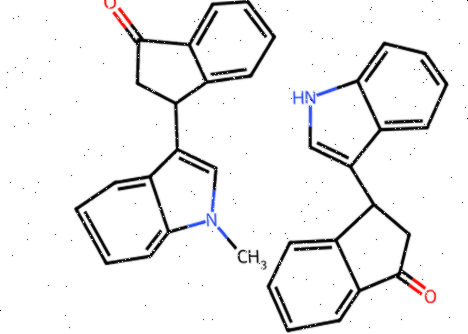 Cn1cc(C2CC(=O)c3ccccc32)c2ccccc21.O=C1CC(c2c[nH]c3ccccc23)c2ccccc21